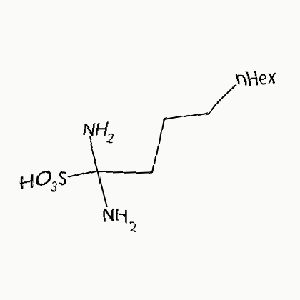 CCCCCCCCCC(N)(N)S(=O)(=O)O